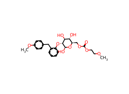 COCCOC(=O)OC[C@H]1O[C@@H](O)[C@H](Oc2ccccc2Cc2ccc(OC)cc2)[C@@H](O)[C@@H]1O